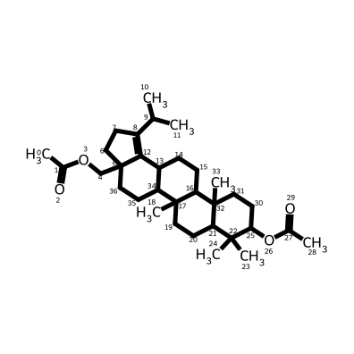 CC(=O)OCC12CCC(C(C)C)=C1C1CCC3C(C)(CCC4C(C)(C)C(OC(C)=O)CCC43C)C1CC2